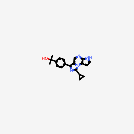 CC(C)(O)c1ccc(-c2nc(C3CC3)n3c2cnc2[nH]ccc23)cc1